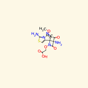 CON=CC1(c2csc(N)n2)N(OCC(=O)O)C(=O)C1(N)C(C)=O